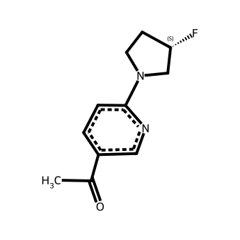 CC(=O)c1ccc(N2CC[C@H](F)C2)nc1